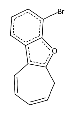 Brc1cccc2c3c(oc12)CC=CC=C3